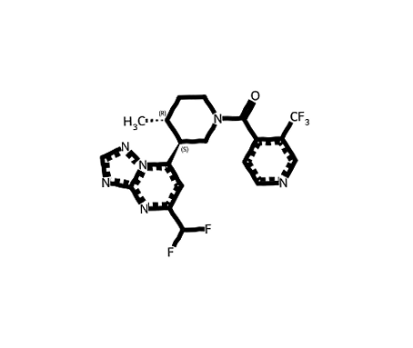 C[C@@H]1CCN(C(=O)c2ccncc2C(F)(F)F)C[C@H]1c1cc(C(F)F)nc2ncnn12